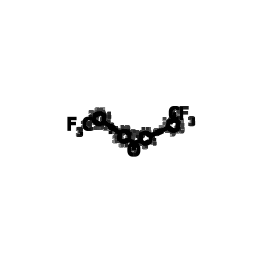 O=C(c1ccc(C#Cc2cccc(C(F)(F)F)c2)cc1)c1ccc(C#Cc2cccc(C(F)(F)F)c2)cc1